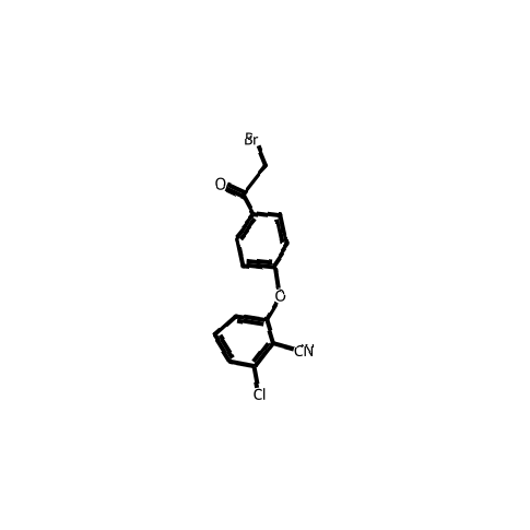 N#Cc1c(Cl)cccc1Oc1ccc(C(=O)CBr)cc1